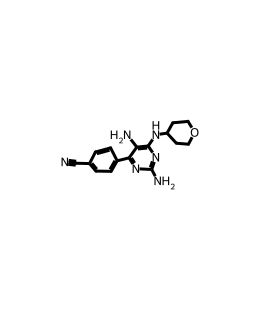 N#Cc1ccc(-c2nc(N)nc(NC3CCOCC3)c2N)cc1